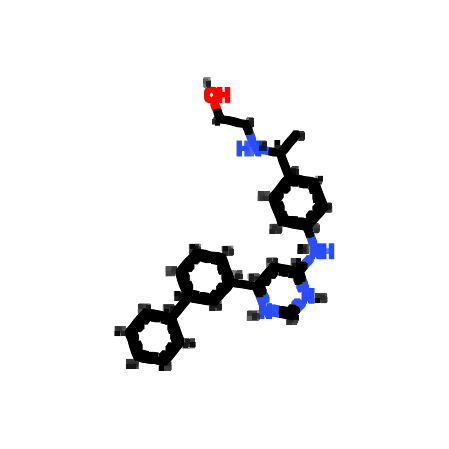 CC(NCCO)c1ccc(Nc2cc(-c3cccc(-c4ccccc4)c3)ncn2)cc1